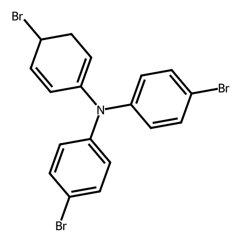 Brc1ccc(N(C2=CCC(Br)C=C2)c2ccc(Br)cc2)cc1